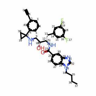 C#Cc1cccc(C2(NC[C@@H](O)[C@H](Cc3cc(F)cc(F)c3)NC(=O)c3ccc4c(c3)ncn4CCCC)CC2)c1